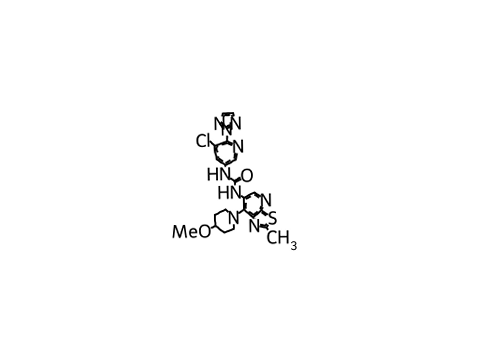 COC1CCN(c2c(NC(=O)Nc3cnc(-n4nccn4)c(Cl)c3)cnc3sc(C)nc23)CC1